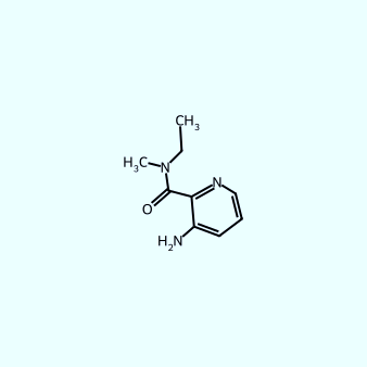 CCN(C)C(=O)c1ncccc1N